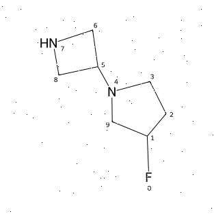 FC1CCN(C2CNC2)C1